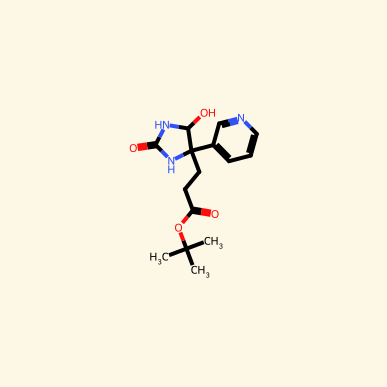 CC(C)(C)OC(=O)CCC1(c2cccnc2)NC(=O)NC1O